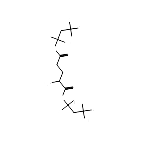 CC(C)(N)CC(C)(C)OC(=O)CCC(N)C(=O)OC(C)(C)CC(C)(C)N